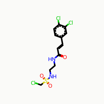 O=C(C=Cc1ccc(Cl)c(Cl)c1)NCCNS(=O)(=O)CCl